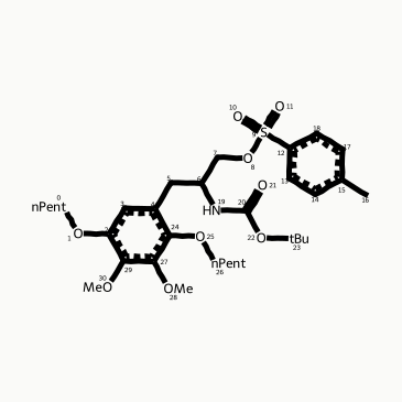 CCCCCOc1cc(CC(COS(=O)(=O)c2ccc(C)cc2)NC(=O)OC(C)(C)C)c(OCCCCC)c(OC)c1OC